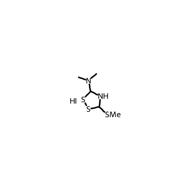 CSC1NC(N(C)C)SS1.I